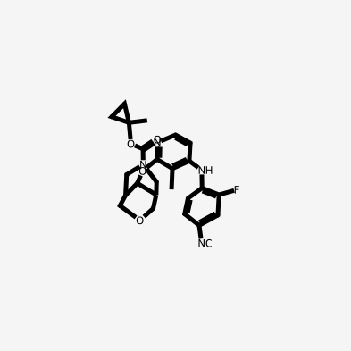 [C-]#[N+]c1ccc(Nc2ccnc(OC3C4COCC3CN(C(=O)OC3(C)CC3)C4)c2C)c(F)c1